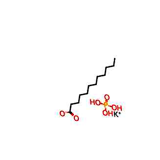 CCCCCCCCCCCC(=O)[O-].O=P(O)(O)O.[K+]